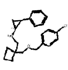 FC(F)(F)c1ccc(CNCC2(CN[C@H]3CC3c3ccccc3)CCC2)cc1